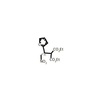 CCOC(=O)C(C(=O)OCC)[C@H](C[N+](=O)[O-])c1ccco1